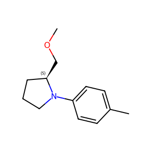 COC[C@@H]1CCCN1c1ccc(C)cc1